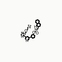 C[Si](C)(C)CCOCn1ncnc1-c1cncc(-c2cccc(OC(=O)NCc3ccc4ccccc4c3)c2)c1